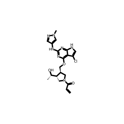 C=CC(=O)N1C[C@H](COc2nc(Nc3cnn(C)c3)nc3[nH]cc(Cl)c23)[C@@H]([C@H](C)O)C1